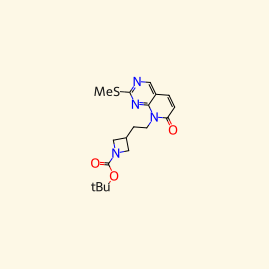 CSc1ncc2ccc(=O)n(CCC3CN(C(=O)OC(C)(C)C)C3)c2n1